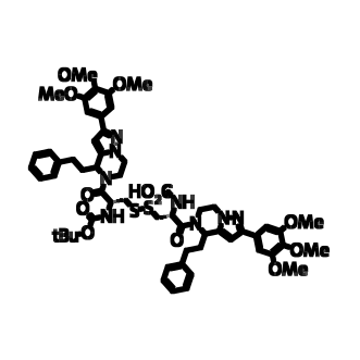 COc1cc(-c2cc3n(n2)CCN(C(=O)[C@H](CSSC[C@H](NC(=O)OC(C)(C)C)C(=O)N2CCn4nc(-c5cc(OC)c(OC)c(OC)c5)cc4C2CCc2ccccc2)NC(=O)O)C3CCc2ccccc2)cc(OC)c1OC